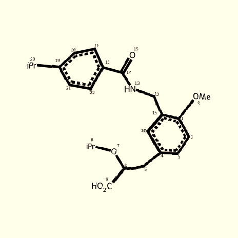 COc1ccc(CC(OC(C)C)C(=O)O)cc1CNC(=O)c1ccc(C(C)C)cc1